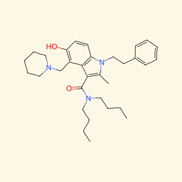 CCCCN(CCCC)C(=O)c1c(C)n(CCc2ccccc2)c2ccc(O)c(CN3CCCCC3)c12